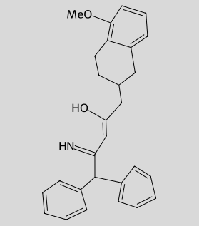 COc1cccc2c1CCC(CC(O)=CC(=N)C(c1ccccc1)c1ccccc1)C2